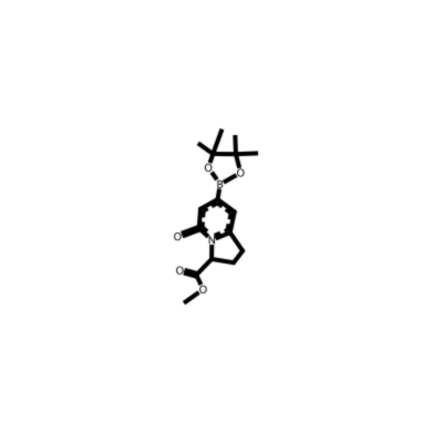 COC(=O)C1CCc2cc(B3OC(C)(C)C(C)(C)O3)cc(=O)n21